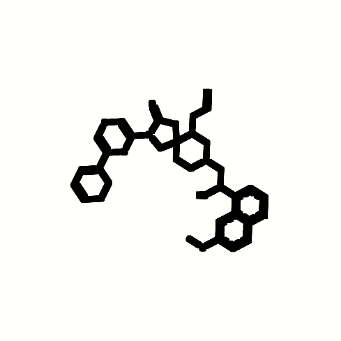 C=CCC1CN(CC(O)c2ccnc3ccc(OC)cc23)CCC12CN(C1=COC=C(C3=CC=CCC3)O1)C(=O)O2